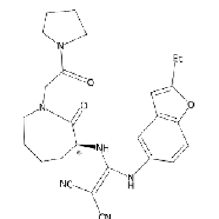 CCc1cc2cc(NC(N[C@H]3CCCCN(CC(=O)N4CCCC4)C3=O)=C(C#N)C#N)ccc2o1